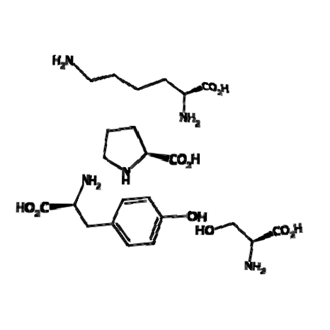 NCCCC[C@H](N)C(=O)O.N[C@@H](CO)C(=O)O.N[C@@H](Cc1ccc(O)cc1)C(=O)O.O=C(O)[C@@H]1CCCN1